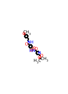 COc1ccc(CCNC(=O)c2ccc(S(=O)(=O)NC(=O)c3ccc(C(=O)OC(C)C)nc3)cc2)cc1